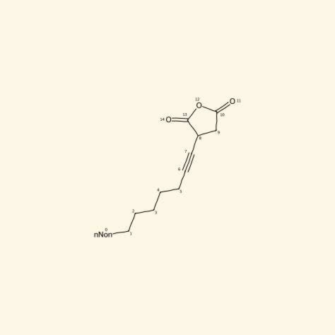 CCCCCCCCCCCCCCC#CC1CC(=O)OC1=O